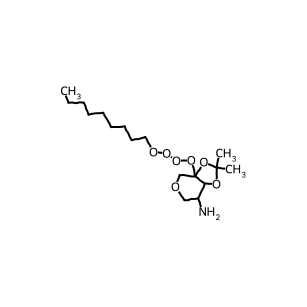 CCCCCCCCCOOOOC12COCC(N)C1OC(C)(C)O2